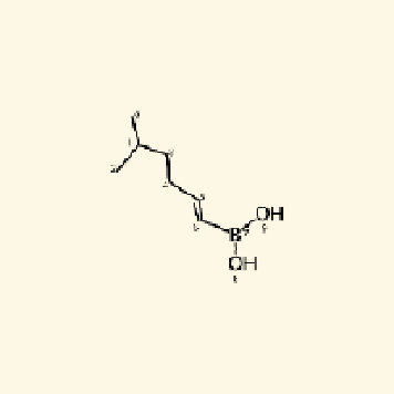 CC(C)CCC=CB(O)O